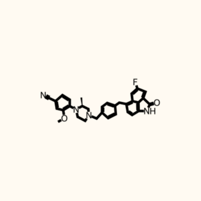 COc1cc(C#N)ccc1N1CCN(Cc2ccc(Cc3ccc4c5c(cc(F)cc35)C(=O)N4)cc2)C[C@@H]1C